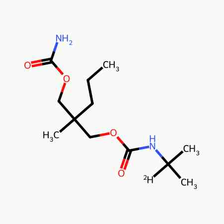 [2H]C(C)(C)NC(=O)OCC(C)(CCC)COC(N)=O